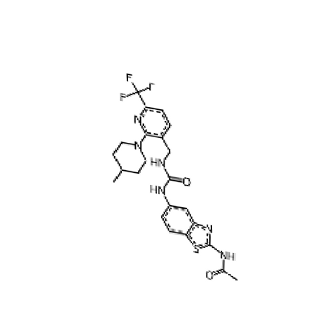 CC(=O)Nc1nc2cc(NC(=O)NCc3ccc(C(F)(F)F)nc3N3CCC(C)CC3)ccc2s1